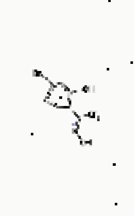 O/N=C(/c1ccc(Br)cc1O)C(F)(F)F